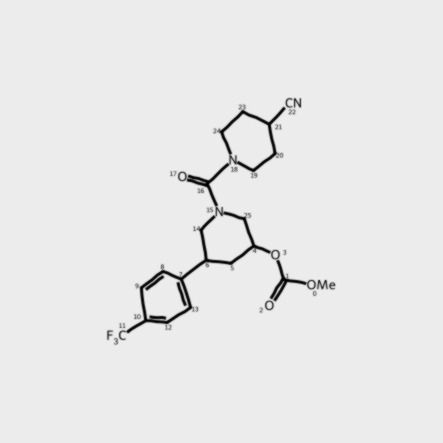 COC(=O)OC1CC(c2ccc(C(F)(F)F)cc2)CN(C(=O)N2CCC(C#N)CC2)C1